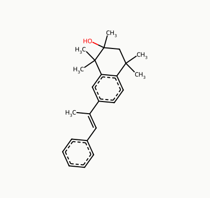 C/C(=C\c1ccccc1)c1ccc2c(c1)C(C)(C)C(C)(O)CC2(C)C